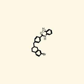 Cc1ccccc1NC(=O)c1ccc(CC2CCc3ccc(Br)cc3C2)cc1